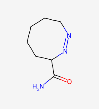 NC(=O)C1CCCCCN=N1